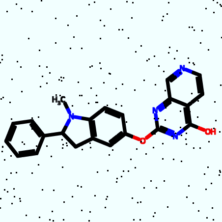 CN1c2ccc(Oc3nc(O)c4ccncc4n3)cc2CC1c1ccccc1